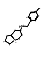 Cc1ccc(CNC2CCN3CCCC3C2)cc1